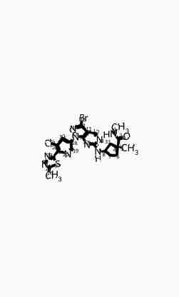 CNC(=O)[C@]1(C)CCC(Nc2ncc3c(Br)nn(-c4cnc(-c5nnc(C)s5)c(Cl)c4)c3n2)C1